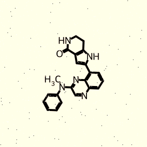 CN(c1ccccc1)c1cnc2cccc(-c3cc4c([nH]3)CCNC4=O)c2n1